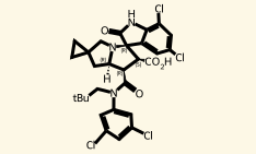 CC(C)(C)CN(C(=O)[C@H]1[C@H]2CC3(CC3)CN2[C@]2(C(=O)Nc3c(Cl)cc(Cl)cc32)[C@H]1C(=O)O)c1cc(Cl)cc(Cl)c1